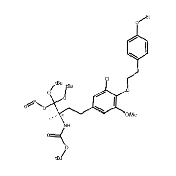 CCOc1ccc(CCOc2c(Cl)cc(CC[C@@](C)(NC(=O)OC(C)(C)C)C(OP=O)(OC(C)(C)C)OC(C)(C)C)cc2OC)cc1